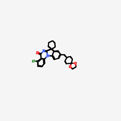 O=c1nc2n(c3cccc(Cl)c13)-c1ccc(CC3CCC4(CC3)OCCO4)cc1C21CCCCC1